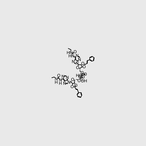 CCNC(=O)Nc1ncnc2c1ncn2[C@@H]1O[C@H](COP(=O)(O)OP(=O)(O)OC[C@H]2O[C@@H](n3cnc4c(NC(=O)NCC)ncnc43)C3OC(/C=C/c4ccccc4)OC32)C2OC(/C=C/c3ccccc3)OC21